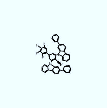 N#Cc1c(-n2c3ccccc3c3ccc(-c4ccccc4)cc32)cc(-c2cc(F)c(F)c(F)c2F)cc1-n1c2ccccc2c2ccc(-c3ccccc3)cc21